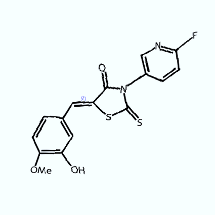 COc1ccc(/C=C2\SC(=S)N(c3ccc(F)nc3)C2=O)cc1O